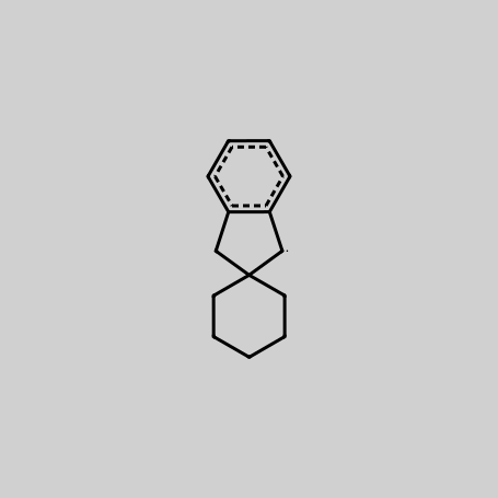 [CH]1c2ccccc2CC12CCCCC2